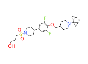 CC1(N2CCC(COc3c(F)cc(C4CCN(S(=O)(=O)CCCO)CC4)cc3F)CC2)CC1